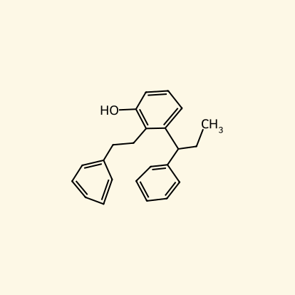 CCC(c1ccccc1)c1cccc(O)c1CCc1ccccc1